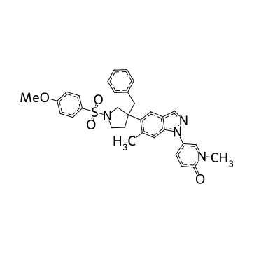 COc1ccc(S(=O)(=O)N2CCC(Cc3ccccc3)(c3cc4cnn(-c5ccc(=O)n(C)c5)c4cc3C)C2)cc1